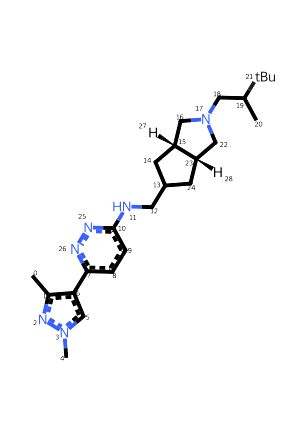 Cc1nn(C)cc1-c1ccc(NCC2C[C@@H]3CN(CC(C)C(C)(C)C)C[C@@H]3C2)nn1